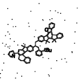 CC(C)(C)c1ccccc1CC(Cc1ccc2c(c1)C(C)(C)c1c3c(c4c(oc5ccccc54)c1-2)-c1ccccc1C3(C)C)c1ccc2c(c1)C(C)(C)c1cc(-c3ccccn3)c3c(c1-2)-c1ccccc1CC3